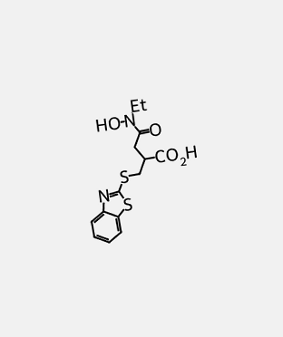 CCN(O)C(=O)CC(CSc1nc2ccccc2s1)C(=O)O